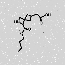 CCCCOC(=O)C1NCC12CC(CC(=O)O)C2